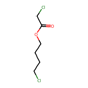 O=C([CH]Cl)OCCCCCl